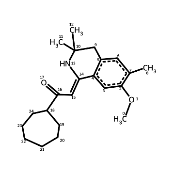 COc1cc2c(cc1C)CC(C)(C)NC2=CC(=O)C1CCCCCC1